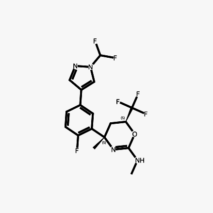 CNC1=N[C@](C)(c2cc(-c3cnn(C(F)F)c3)ccc2F)C[C@@H](C(F)(F)F)O1